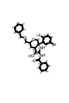 O=C(NC(=S)N[C@@]1(c2cc(Br)ccc2F)COC(COCc2ccccc2)CC1CO)c1ccccc1